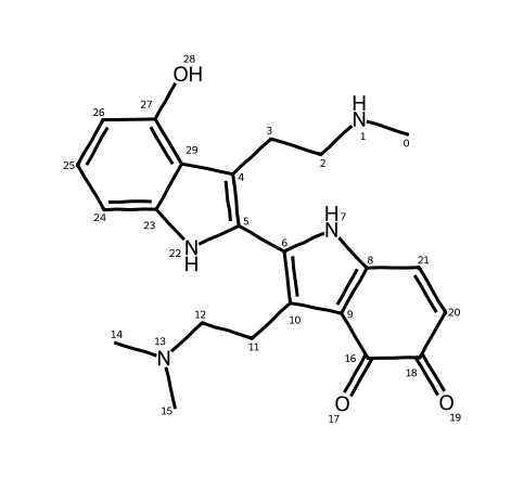 CNCCc1c(-c2[nH]c3c(c2CCN(C)C)C(=O)C(=O)C=C3)[nH]c2cccc(O)c12